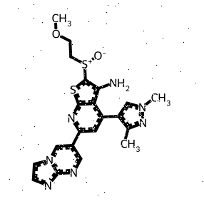 COCC[S+]([O-])c1sc2nc(-c3cnc4nccn4c3)cc(-c3cn(C)nc3C)c2c1N